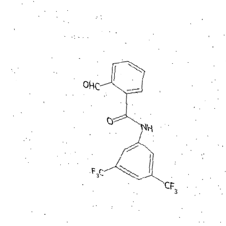 O=Cc1ccccc1C(=O)Nc1cc(C(F)(F)F)cc(C(F)(F)F)c1